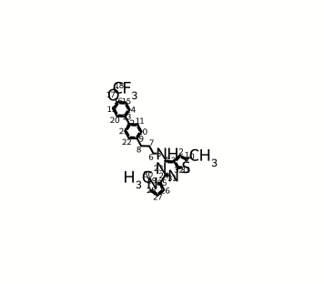 Cc1cc2c(NCCCc3ccc(-c4ccc(OC(F)(F)F)cc4)cc3)nc(-c3cccn3C)nc2s1